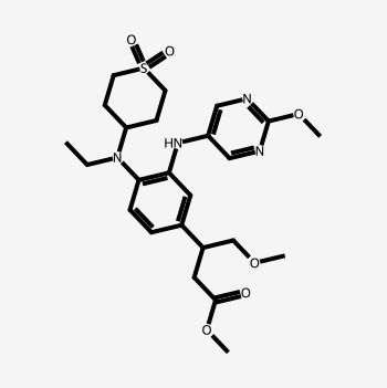 CCN(c1ccc(C(COC)CC(=O)OC)cc1Nc1cnc(OC)nc1)C1CCS(=O)(=O)CC1